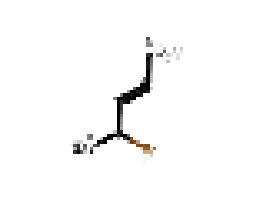 CC(C)(C)C(Br)/C=C/C(=O)O